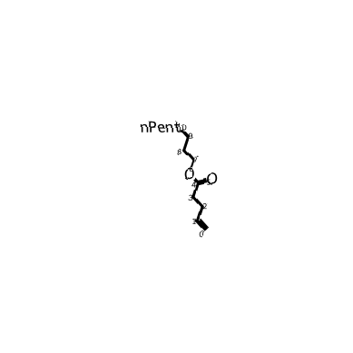 C=CCCC(=O)OCCCCCCCC